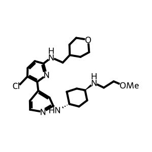 COCCN[C@H]1CC[C@H](Nc2cc(-c3nc(NCC4CCOCC4)ccc3Cl)ccn2)CC1